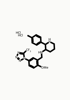 COc1ccc(-n2nnnc2C(F)(F)F)cc1CNC1CCCNC1c1ccc(C)cc1.Cl.Cl